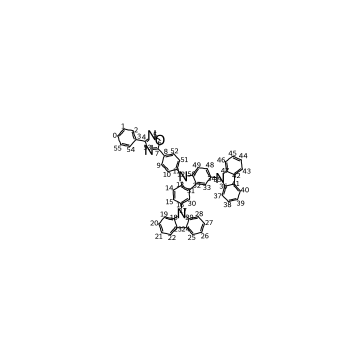 c1ccc(-c2noc(-c3ccc(-n4c5ccc(-n6c7ccccc7c7ccccc76)cc5c5cc(-n6c7ccccc7c7ccccc76)ccc54)cc3)n2)cc1